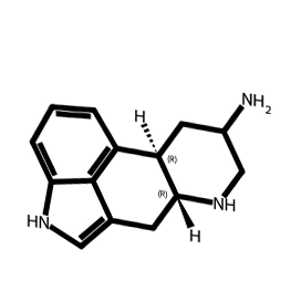 NC1CN[C@@H]2Cc3c[nH]c4cccc(c34)[C@H]2C1